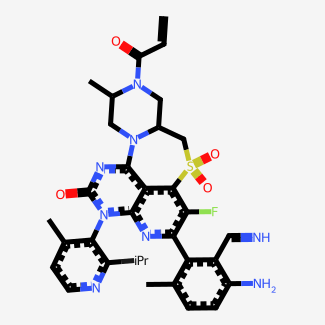 C=CC(=O)N1CC2CS(=O)(=O)c3c(F)c(-c4c(C)ccc(N)c4C=N)nc4c3c(nc(=O)n4-c3c(C)ccnc3C(C)C)N2CC1C